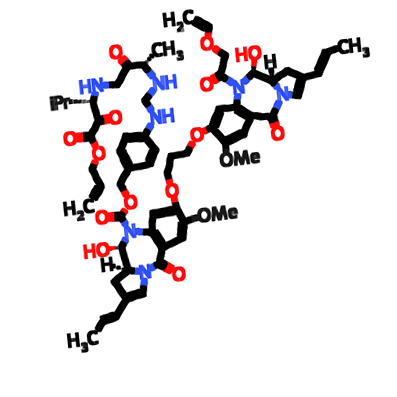 C=CCOC(=O)C(=O)[C@@H](NCC(=O)[C@H](C)NCNc1ccc(COC(=O)N2c3cc(OCCCOc4cc5c(cc4OC)C(=O)N4C=C(/C=C/C)C[C@H]4[C@H](O)N5C(=O)COC=C)c(OC)cc3C(=O)N3C=C(/C=C/C)C[C@H]3[C@@H]2O)cc1)C(C)C